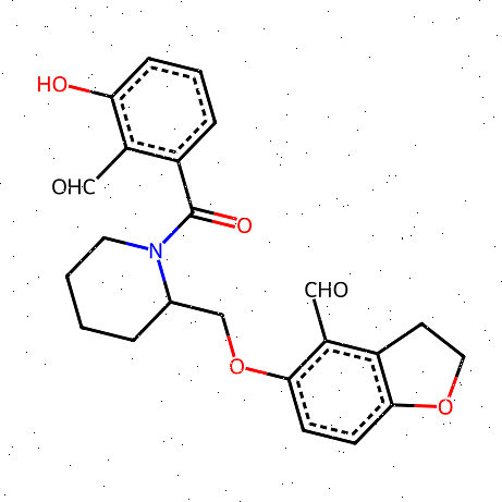 O=Cc1c(O)cccc1C(=O)N1CCCCC1COc1ccc2c(c1C=O)CCO2